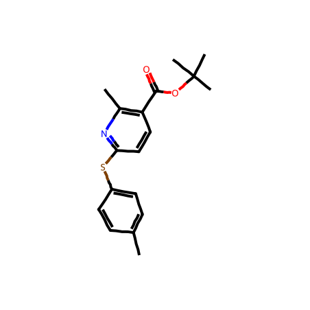 Cc1ccc(Sc2ccc(C(=O)OC(C)(C)C)c(C)n2)cc1